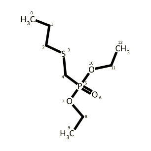 CCCSCP(=O)(OCC)OCC